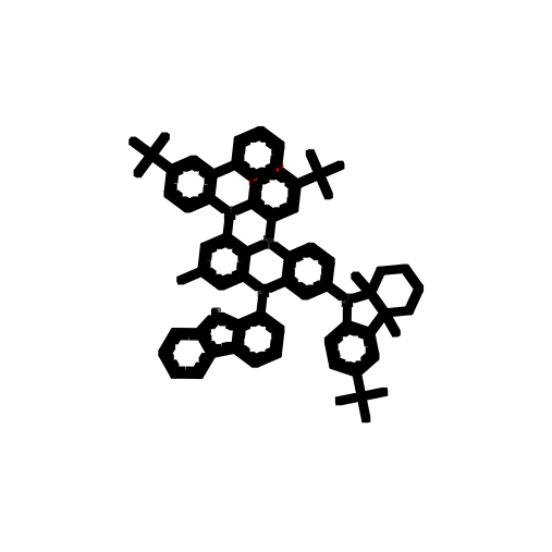 Cc1cc2c3c(c1)N(c1cccc4c1sc1ccccc14)c1cc(N4c5ccc(C(C)(C)C)cc5C5(C)CCCCC45C)ccc1B3c1cc(C(C)(C)C)ccc1N2c1ccc(C(C)(C)C)cc1-c1ccccc1